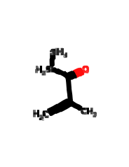 C=C(C)C(=O)[SiH2][SiH3]